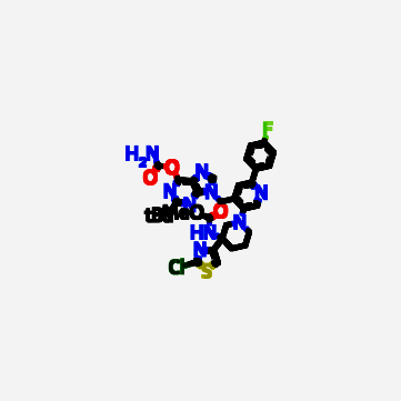 COC(=O)NC1(c2csc(Cl)n2)CCCN(c2cnc(-c3ccc(F)cc3)cc2Cn2cnc3c(OC(N)=O)nc(C(C)(C)C)nc32)C1